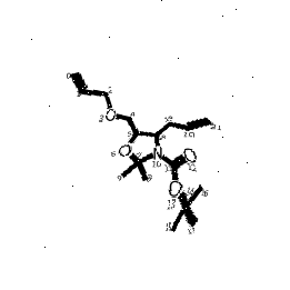 C=CCOCC1OC(C)(C)N(C(=O)OC(C)(C)C)C1CC=C